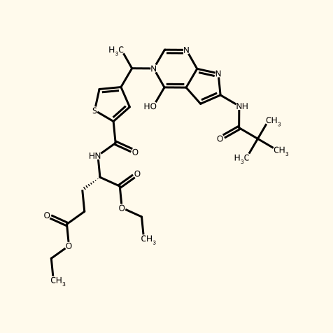 CCOC(=O)CC[C@H](NC(=O)c1cc(C(C)n2cnc3nc(NC(=O)C(C)(C)C)cc-3c2O)cs1)C(=O)OCC